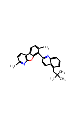 Cc1ccc2c(n1)oc1c(-c3ccc4c(CC(C)(C)C(F)(F)F)cccc4n3)c(C)ccc12